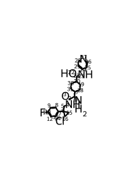 NC(C(=O)NCC1(c2ccc(F)cc2Cl)CC1)C1CCC(C(O)Nc2ccncc2)CC1